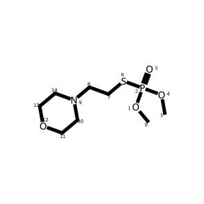 COP(=O)(OC)SCCN1CCOCC1